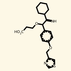 N=C(C1CCCCC1)C(OCCC(=O)O)c1ccc(OCc2cscn2)cc1